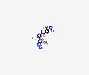 Cc1ccc(NC(=O)c2ccc(-n3ccnc3C)c(C(F)(F)F)c2)cc1N1Cc2cnc(N)nc2N(C)C1=O